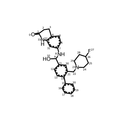 O=C1CCc2ccc(NC(O)c3ccc(-c4ccccc4)c(CN4CCC(F)CC4)c3)cc2N1